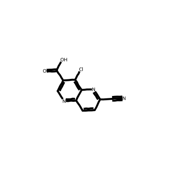 N#Cc1ccc2ncc(C(=O)O)c(Cl)c2n1